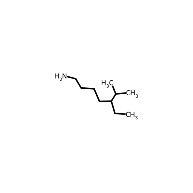 CCC(CCCCN)C(C)C